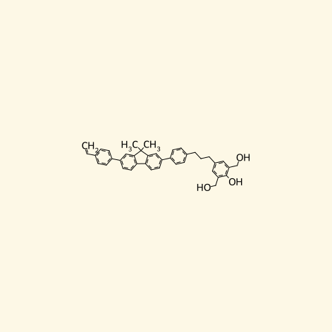 C=Cc1ccc(-c2ccc3c(c2)C(C)(C)c2cc(-c4ccc(CCCc5cc(CO)c(O)c(CO)c5)cc4)ccc2-3)cc1